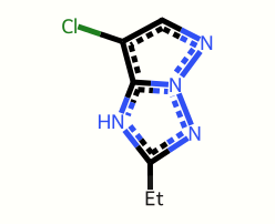 CCc1nn2ncc(Cl)c2[nH]1